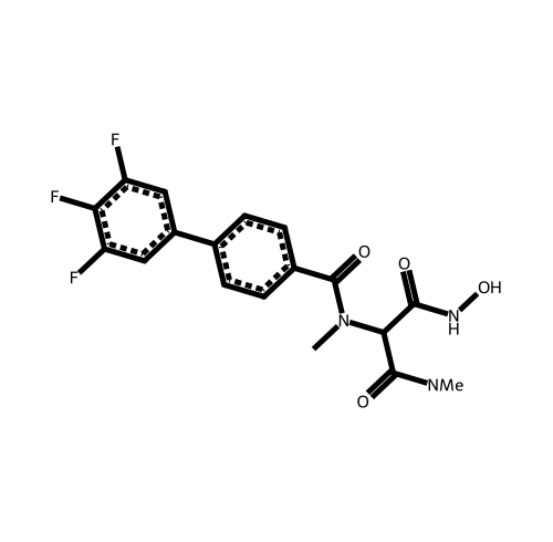 CNC(=O)C(C(=O)NO)N(C)C(=O)c1ccc(-c2cc(F)c(F)c(F)c2)cc1